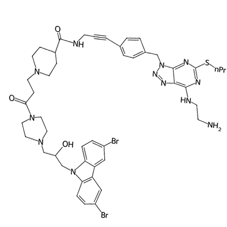 CCCSc1nc(NCCN)c2nnn(Cc3ccc(C#CCNC(=O)C4CCN(CCC(=O)N5CCN(CC(O)Cn6c7ccc(Br)cc7c7cc(Br)ccc76)CC5)CC4)cc3)c2n1